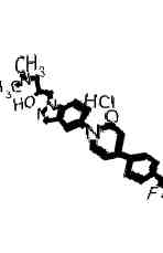 CN(C)CC(O)Cn1ncc2cc(-n3ccc(-c4ccc(C(F)(F)F)cc4)cc3=O)ccc21.Cl